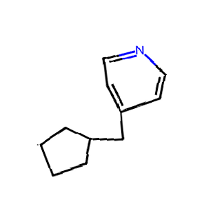 [CH]1CCC(Cc2ccncc2)C1